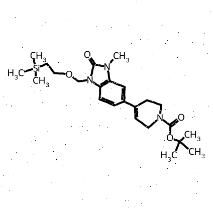 Cn1c(=O)n(COCC[Si](C)(C)C)c2ccc(C3=CCN(C(=O)OC(C)(C)C)CC3)cc21